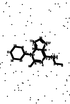 CCNc1nc(C)n(C2CCCCC2)c2ncnc1-2